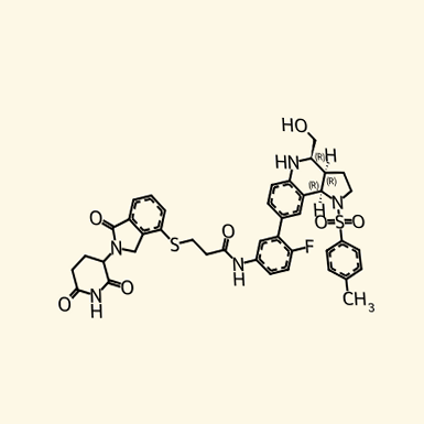 Cc1ccc(S(=O)(=O)N2CC[C@@H]3[C@H](CO)Nc4ccc(-c5cc(NC(=O)CCSc6cccc7c6CN(C6CCC(=O)NC6=O)C7=O)ccc5F)cc4[C@@H]32)cc1